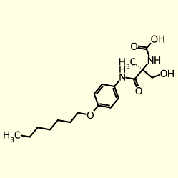 CCCCCCCOc1ccc(NC(=O)[C@](C)(CO)NC(=O)O)cc1